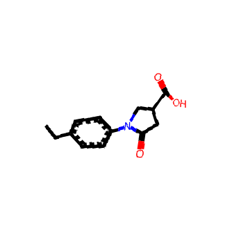 CCc1ccc(N2CC(C(=O)O)CC2=O)cc1